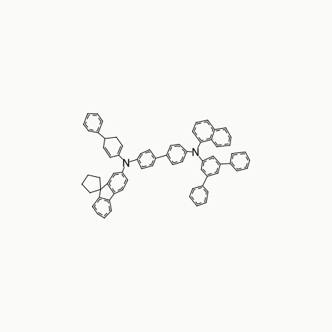 C1=CC(c2ccccc2)CC=C1N(c1ccc(-c2ccc(N(c3cc(-c4ccccc4)cc(-c4ccccc4)c3)c3cccc4ccccc34)cc2)cc1)c1ccc2c(c1)C1(CCCC1)c1ccccc1-2